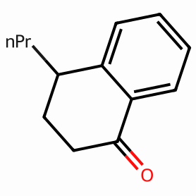 CCCC1CCC(=O)c2ccccc21